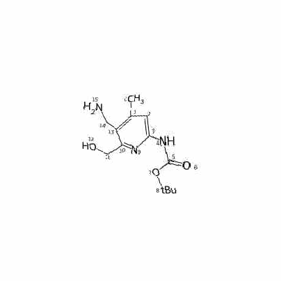 Cc1cc(NC(=O)OC(C)(C)C)nc(CO)c1CN